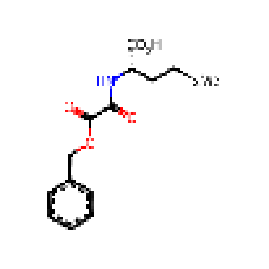 CSCC[C@H](NC(=O)C(=O)OCc1ccccc1)C(=O)O